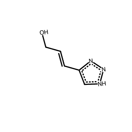 OCC=Cc1c[nH]nn1